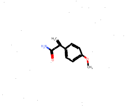 C=C(C(N)=O)c1ccc(OC)cc1